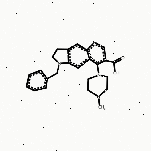 CN1CCN(c2c(C(=O)O)cnc3cc4c(cc23)N(Cc2ccccc2)CC4)CC1